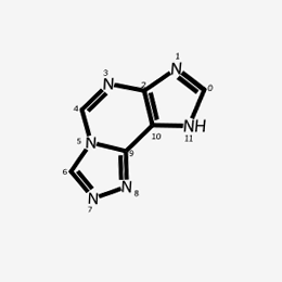 c1nc2ncn3cnnc3c2[nH]1